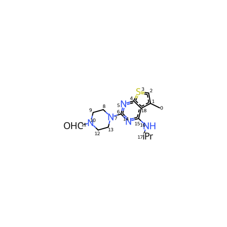 Cc1csc2nc(N3CCN(C=O)CC3)nc(NC(C)C)c12